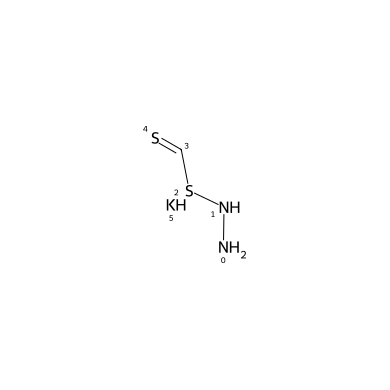 NNSC=S.[KH]